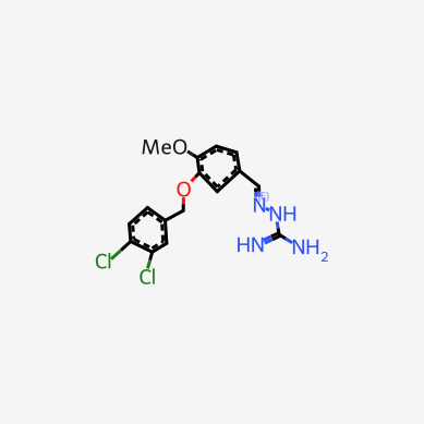 COc1ccc(/C=N/NC(=N)N)cc1OCc1ccc(Cl)c(Cl)c1